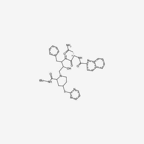 CC(C)(C)NC(=O)C1CC(Sc2ncccn2)CCN1CC(O)C(Cc1ccccc1)NC(=O)[C@H](CC(N)=O)NC(=O)c1ccc2ccccc2n1